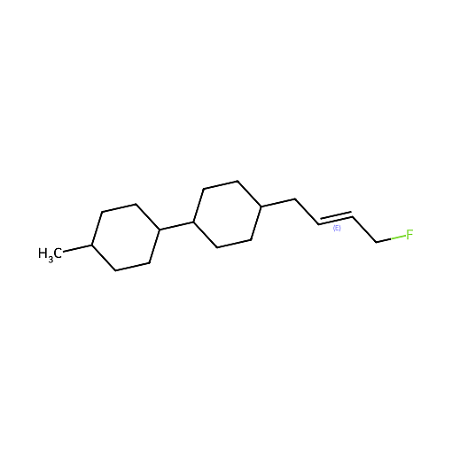 CC1CCC(C2CCC(C/C=C/CF)CC2)CC1